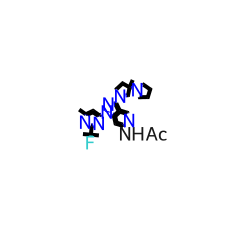 CC(=O)Nc1cc2c(cn1)c(N1CCC(C)(N3CCCC3)C1)nn2-c1cc(C)nc(C(C)(C)F)n1